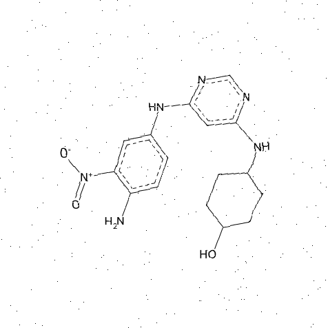 Nc1ccc(Nc2cc(NC3CCC(O)CC3)ncn2)cc1[N+](=O)[O-]